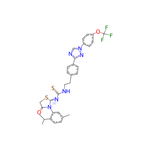 Cc1ccc(C(C)C)c(N2C(=O)CS/C2=N\C(=S)NCCc2ccc(-c3ncn(-c4ccc(OC(F)(F)F)cc4)n3)cc2)c1